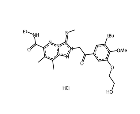 CCNC(=O)c1nn2c(=NC)n(CC(=O)c3cc(OCCO)c(OC)c(C(C)(C)C)c3)nc2c(C)c1C.Cl